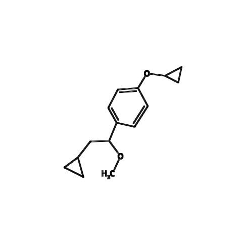 COC(CC1CC1)c1ccc(OC2CC2)cc1